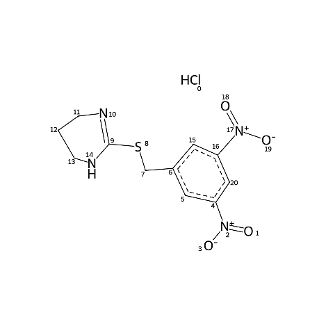 Cl.O=[N+]([O-])c1cc(CSC2=NCCCN2)cc([N+](=O)[O-])c1